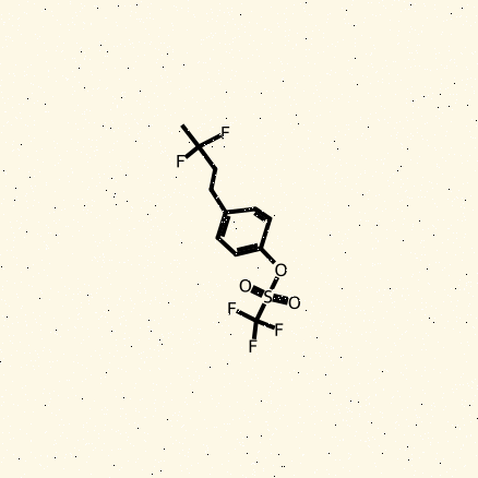 CC(F)(F)CCc1ccc(OS(=O)(=O)C(F)(F)F)cc1